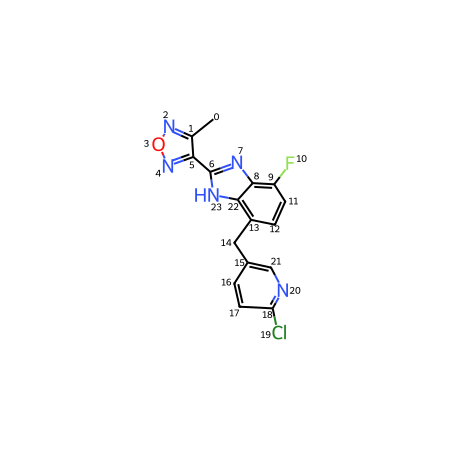 Cc1nonc1-c1nc2c(F)ccc(Cc3ccc(Cl)nc3)c2[nH]1